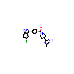 Cc1c[nH]c(C2CCN(C(=O)c3ccc(-c4c[nH]c5ccc(F)cc45)cc3)CC2)n1